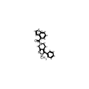 Cn1nc2c(c1-c1ccccc1)CCN(C(=O)c1cccc3sccc13)C2